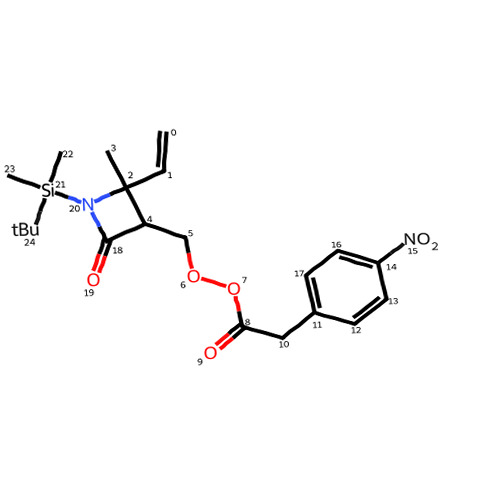 C=CC1(C)C(COOC(=O)Cc2ccc([N+](=O)[O-])cc2)C(=O)N1[Si](C)(C)C(C)(C)C